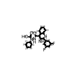 Nc1c(-c2cc(F)cc(F)c2)nc2ccccc2c1C(=O)NN(C(=O)O)c1ccccc1